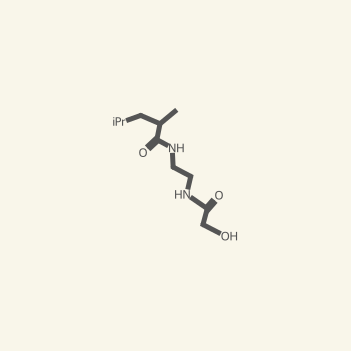 CC(C)CC(C)C(=O)NCCNC(=O)CO